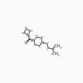 CC(C)CCN1CCN(C(=O)N2CCC2)CC1